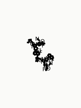 C=C(F)C(=O)N1CCN(c2nc(OCC3C(c4cc(F)c(Cl)c5c(N6CCc7c(nc(OCC8CCN8CC)nc7N7CCN(C(=O)C(=C)F)[C@@H](CC#N)C7)C6)cccc45)CN3C(C)C)nc3c2CCN(c2cccc4ccc(F)c(Cl)c24)C3)C[C@@H]1CC#N